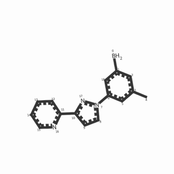 Bc1cc(C)cc(-n2ccc(-c3ccccn3)n2)c1